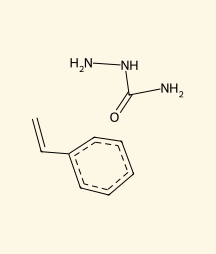 C=Cc1ccccc1.NNC(N)=O